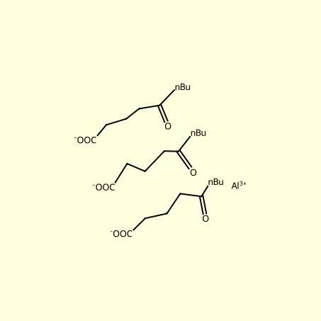 CCCCC(=O)CCCC(=O)[O-].CCCCC(=O)CCCC(=O)[O-].CCCCC(=O)CCCC(=O)[O-].[Al+3]